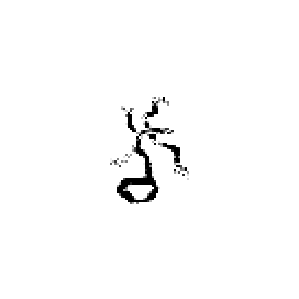 CCOP(=O)(OCC)N(CC)[C@@H](C)Cc1ccccc1